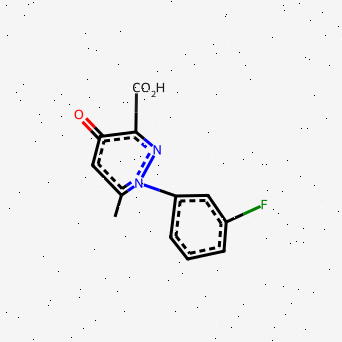 Cc1cc(=O)c(C(=O)O)nn1-c1cccc(F)c1